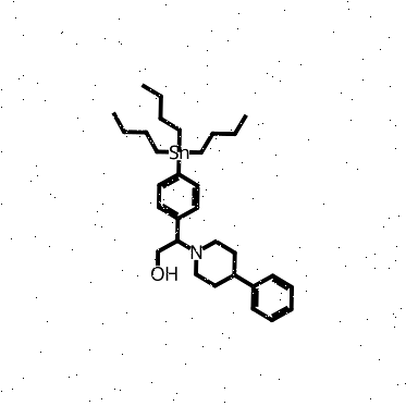 CCC[CH2][Sn]([CH2]CCC)([CH2]CCC)[c]1ccc(C(CO)N2CCC(c3ccccc3)CC2)cc1